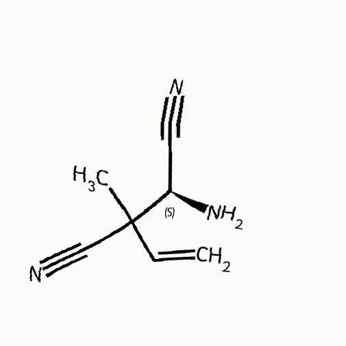 C=CC(C)(C#N)[C@H](N)C#N